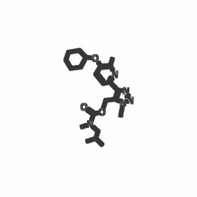 Cc1nc(-c2nnn(C)c2COC(=O)N(C)CC(C)C)ccc1OC1CCCCC1